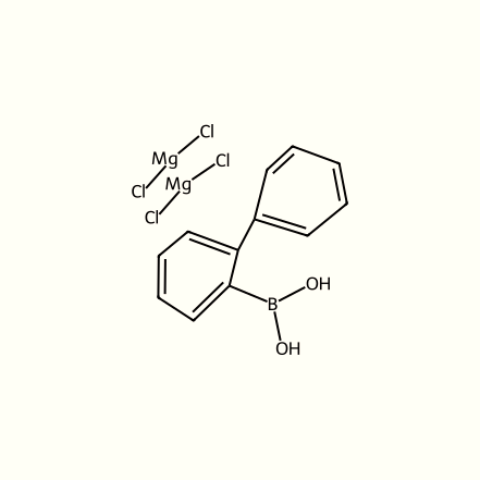 OB(O)c1ccccc1-c1ccccc1.[Cl][Mg][Cl].[Cl][Mg][Cl]